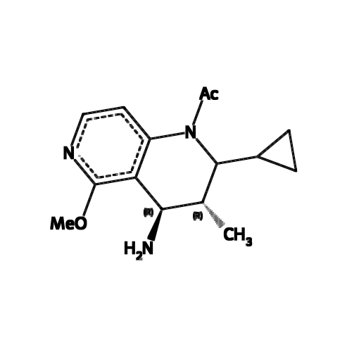 COc1nccc2c1[C@H](N)[C@@H](C)C(C1CC1)N2C(C)=O